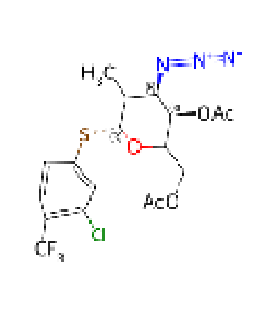 CC(=O)OCC1O[C@H](Sc2ccc(C(F)(F)F)c(Cl)c2)C(C)[C@@H](N=[N+]=[N-])[C@H]1OC(C)=O